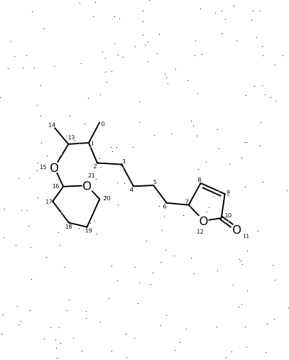 CC(CCCCCC1C=CC(=O)O1)C(C)OC1CCCCO1